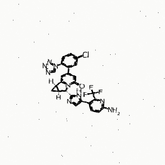 Nc1ccc(-c2cnc([C@@H]3[C@H]4C[C@H]4c4cc(-c5cc(Cl)ccc5-n5cnnn5)cc(=O)n43)[nH]2)c(C(F)(F)F)n1